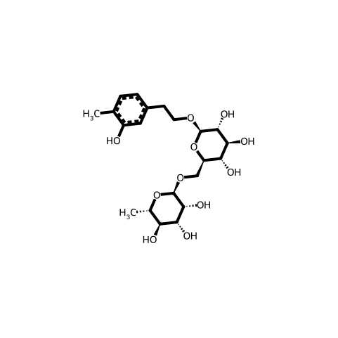 Cc1ccc(CCO[C@@H]2O[C@H](CO[C@@H]3O[C@@H](C)[C@H](O)[C@@H](O)[C@H]3O)[C@@H](O)[C@H](O)[C@H]2O)cc1O